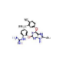 CCCCc1nc2c(Oc3ccc(C#N)c(C(=O)O)c3)nc(Oc3ccccc3NC(=N)N)nc2[nH]1